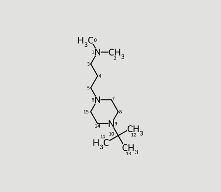 CN(C)CCCN1CCN(C(C)(C)C)CC1